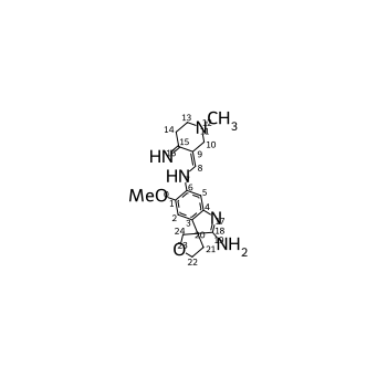 COc1cc2c(cc1N/C=C1/CN(C)CCC1=N)N=C(N)C21CCOC1